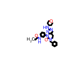 C=CC(=O)Nc1cccc(N2C(=O)N(Cc3ccccc3)CCc3cnc(NC4CCOCC4)nc32)c1